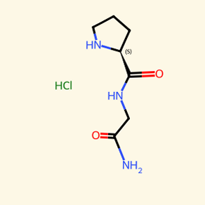 Cl.NC(=O)CNC(=O)[C@@H]1CCCN1